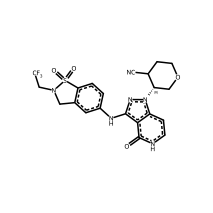 N#CC1CCOC[C@@H]1n1nc(Nc2ccc3c(c2)CN(CC(F)(F)F)S3(=O)=O)c2c(=O)[nH]ccc21